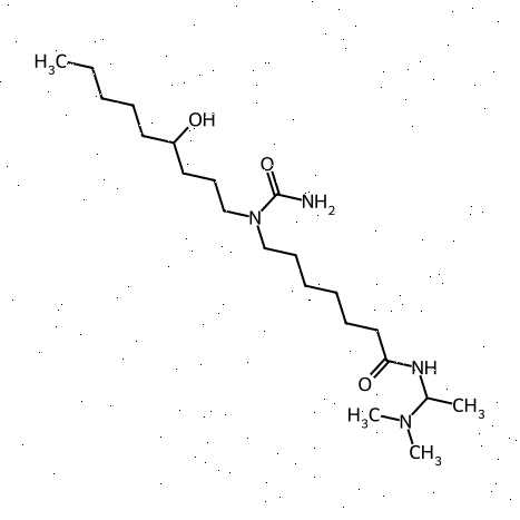 CCCCCC(O)CCCN(CCCCCCC(=O)NC(C)N(C)C)C(N)=O